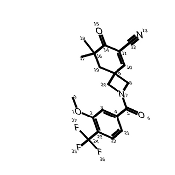 COc1cc(C(=O)N2CC3(C=C(C#N)C(=O)C(C)(C)C3)C2)ccc1C(F)(F)F